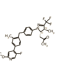 COc1cc(-c2ccc(Cc3ccc(N4N=C(C(F)(F)F)[C@@H](C)[C@@H]4CC(C)=O)cc3)c(C)c2)c(F)cn1